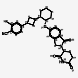 N#Cc1ccc(C2CN([C@H]3CCCC[C@@H]3Oc3ccc4c(c3)CN(C3CCC(=O)NC3=O)C4=O)C2)cc1F